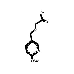 COc1ccc(COCC(=O)C(C)C)cn1